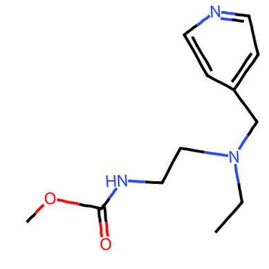 CCN(CCNC(=O)OC)Cc1ccncc1